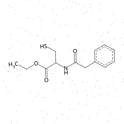 CCOC(=O)C(CS)NC(=O)Cc1ccccc1